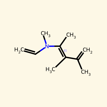 C=CN(C)/C(C)=C(\C)C(=C)C